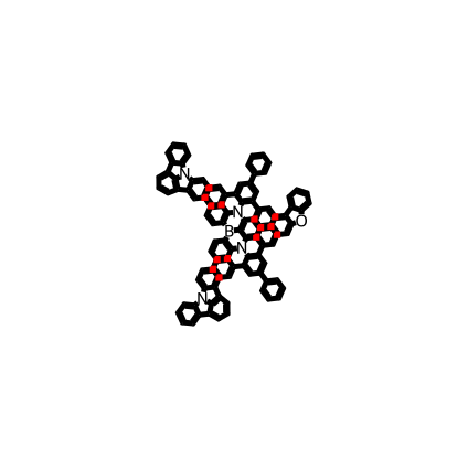 c1ccc(-c2cc(-c3ccccc3)c(N3c4cc(-c5ccc6c(c5)c5cccc7c8ccccc8n6c75)ccc4B4c5ccc(-c6ccc7c(c6)c6cccc8c9ccccc9n7c86)cc5N(c5c(-c6ccccc6)cc(-c6ccccc6)cc5-c5ccccc5)c5cc(-c6ccc7oc8ccccc8c7c6)cc3c54)c(-c3ccccc3)c2)cc1